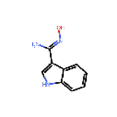 NC(=NO)c1c[nH]c2ccccc12